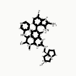 CCC(C(=O)Nc1cccnc1)N(C)c1nc(OC[C@@]23CCCN2C[C@H](F)C3)nc2c(F)c(-c3ccc(F)c4sc(N)c(C#N)c34)c(Cl)cc12